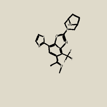 COC(C)c1cc(-c2nccs2)c2oc(N3CC4CCC(C3)N4)nc2c1C(F)(F)F